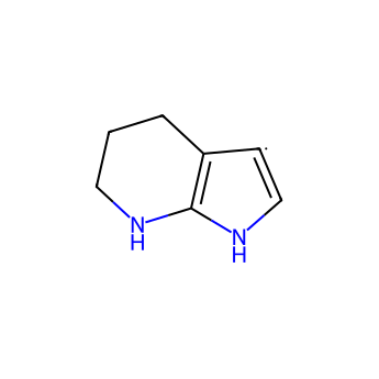 [c]1c[nH]c2c1CCCN2